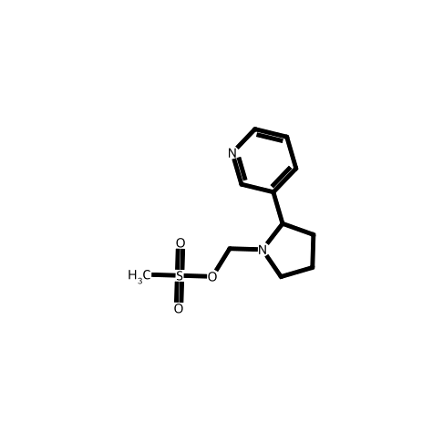 CS(=O)(=O)OCN1CCCC1c1cccnc1